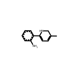 CC1=CC=C(c2ccccc2N)NC1